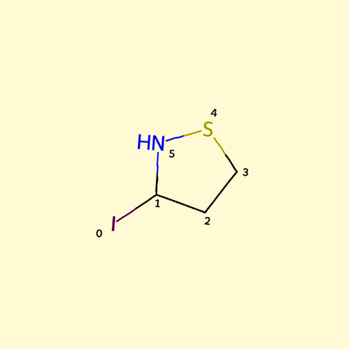 IC1CCSN1